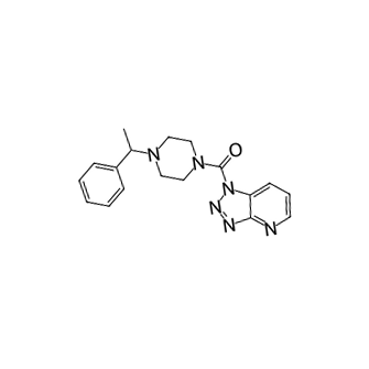 CC(c1ccccc1)N1CCN(C(=O)n2nnc3ncccc32)CC1